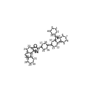 c1ccc(-n2c3ccccc3c3ccc(-c4ccc(-c5nc6c(ccc7sc8ccccc8c76)o5)cc4)cc32)cc1